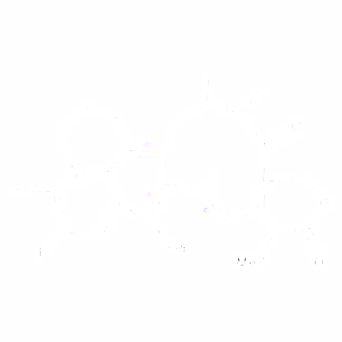 CCC/C=C1C(=C2/CCCc3c(C)c(F)cc(C)c32)/CC(C)C(C)C(=O)C2=C(/C=C/1C)C(OC)C(=O)OC2